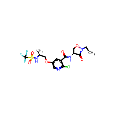 CCN1OC[C@@H](NC(=O)c2cc(OC[C@H](C)NS(=O)(=O)C(F)(F)F)cnc2Cl)C1=O